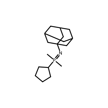 CP(C)(=NC12CC3CC(CC(C3)C1)C2)C1CCCC1